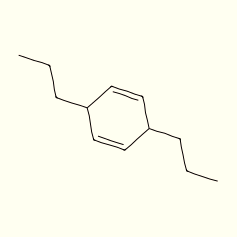 CCCC1C=CC(CCC)C=C1